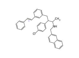 CC(NCc1ccc2ccccc2c1)C(Cc1cccc(/C=C/c2ccccc2)c1)c1ccc(Cl)cc1